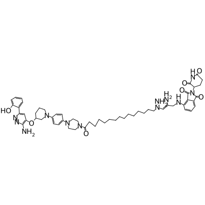 N/C(=C\N(N)CCCCCCCCCCCCCCC(=O)N1CCN(c2ccc(N3CCCC(Oc4cc(-c5ccccc5O)nnc4N)C3)cc2)CC1)CNc1cccc2c1C(=O)N(C1CCC(=O)NC1=O)C2=O